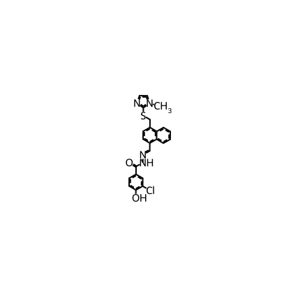 Cn1ccnc1SCc1ccc(/C=N/NC(=O)c2ccc(O)c(Cl)c2)c2ccccc12